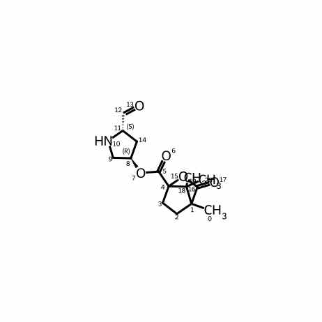 CC12CCC(C(=O)O[C@H]3CN[C@H](C=O)C3)(OC1=O)C2(C)C